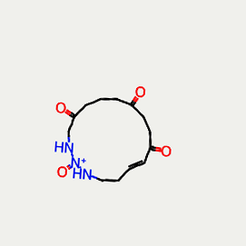 O=C1/C=C/CCN[N+](=O)NCC(=O)CCCC(=O)CC1